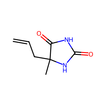 C=CCC1(C)NC(=O)NC1=O